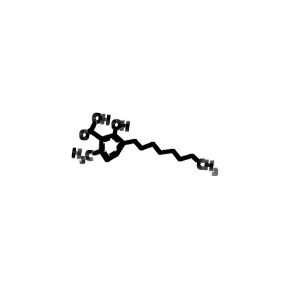 CCCCCCCCc1ccc(C)c(C(=O)O)c1O